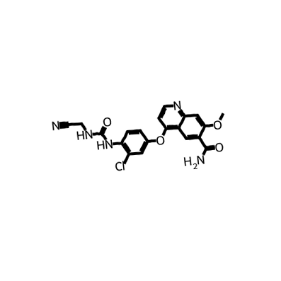 COc1cc2nccc(Oc3ccc(NC(=O)NCC#N)c(Cl)c3)c2cc1C(N)=O